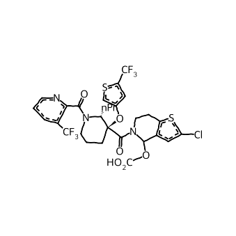 CCC[C@H]1N(C(=O)c2ncccc2C(F)(F)F)CCC[C@@]1(Oc1csc(C(F)(F)F)c1)C(=O)N1CCc2sc(Cl)cc2C1OC(=O)O